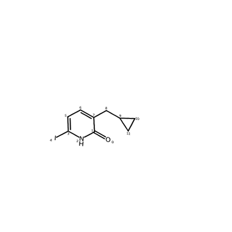 O=c1[nH]c(I)ccc1CC1CC1